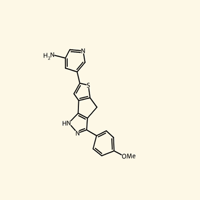 COc1ccc(-c2n[nH]c3c2Cc2sc(-c4cncc(N)c4)cc2-3)cc1